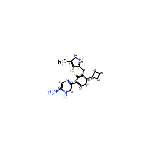 CC1=CC(CC2=C(F)C(C3=NC=C(N)NC3)=CCC2C2CCC2)=NC1